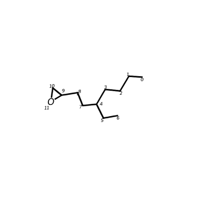 CCCCC(CC)C[CH]C1CO1